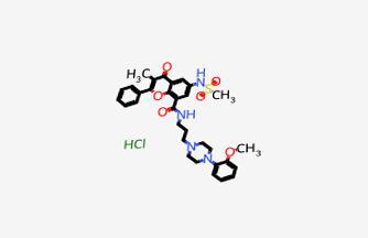 COc1ccccc1N1CCN(CCCNC(=O)c2cc(NS(C)(=O)=O)cc3c(=O)c(C)c(-c4ccccc4)oc23)CC1.Cl